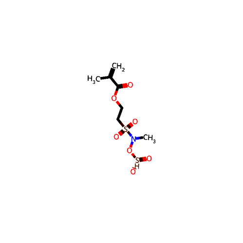 C=C(C)C(=O)OCCS(=O)(=O)N(C)O[SH](=O)=O